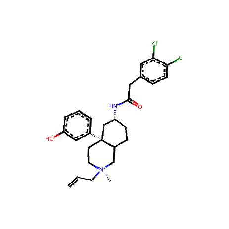 C=CC[N@@+]1(C)CC[C@@]2(c3cccc(O)c3)C[C@H](NC(=O)Cc3ccc(Cl)c(Cl)c3)CCC2C1